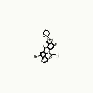 O=C(CCl)Nc1c(C(=O)c2ccc(F)c3nn(C4CCCCO4)cc23)cc(Br)c2ncccc12